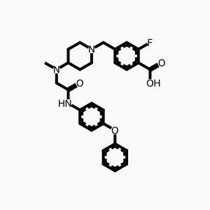 CN(CC(=O)Nc1ccc(Oc2ccccc2)cc1)C1CCN(Cc2ccc(C(=O)O)c(F)c2)CC1